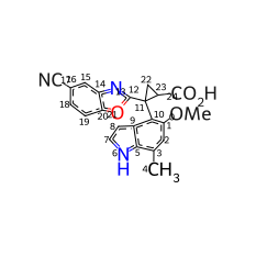 COc1cc(C)c2[nH]ccc2c1C1(c2nc3cc(C#N)ccc3o2)CC1C(=O)O